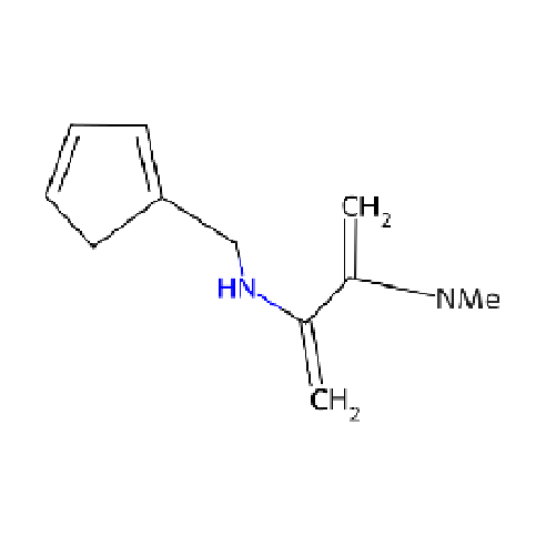 C=C(NC)C(=C)NCC1=CC=CC1